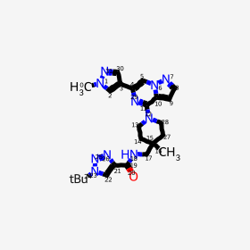 Cn1cc(-c2cn3nccc3c(N3CCC(C)(CNC(=O)c4cn(C(C)(C)C)nn4)CC3)n2)cn1